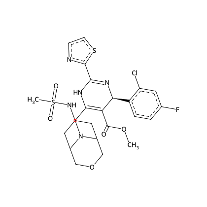 COC(=O)C1=C(CN2C3COCC2CC(NS(C)(=O)=O)C3)NC(c2nccs2)=N[C@H]1c1ccc(F)cc1Cl